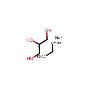 CCCCCCCC(=O)[O-].OCC(O)CO.[Na+]